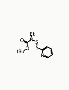 CCN(SSc1ccccn1)C(=O)OC(C)(C)C